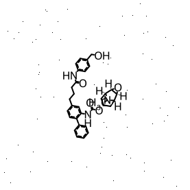 CN1[C@H]2C[C@H](OC(=O)Nc3cc(CCCC(=O)Nc4ccc(CO)cc4)ccc3-c3ccccc3)C[C@H]1[C@H]1O[C@H]12